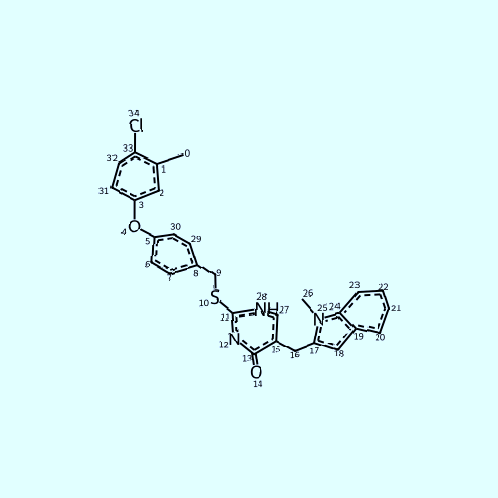 Cc1cc(Oc2ccc(CSc3nc(=O)c(Cc4cc5ccccc5n4C)c[nH]3)cc2)ccc1Cl